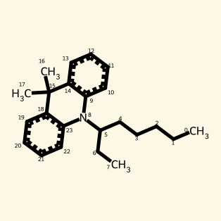 CCCCCC(CC)N1c2ccccc2C(C)(C)c2ccccc21